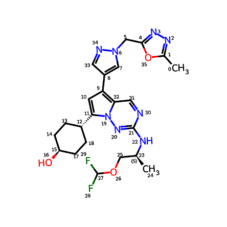 Cc1nnc(Cn2cc(-c3cc([C@H]4CC[C@H](O)CC4)n4nc(N[C@@H](C)COC(F)F)ncc34)cn2)o1